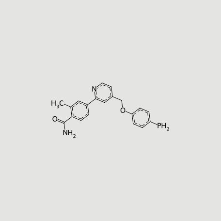 Cc1cc(-c2cc(COc3ccc(P)cc3)ccn2)ccc1C(N)=O